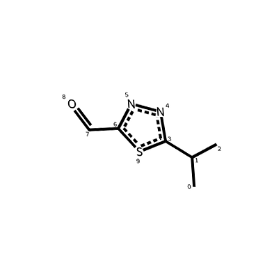 CC(C)c1nnc(C=O)s1